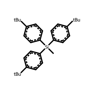 CC(C)(C)c1ccc([Si](C)(c2ccc(C(C)(C)C)cc2)c2ccc(C(C)(C)C)cc2)cc1